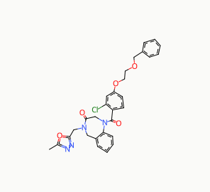 Cc1nnc(CN2Cc3ccccc3N(C(=O)c3ccc(OCCOCc4ccccc4)cc3Cl)CC2=O)o1